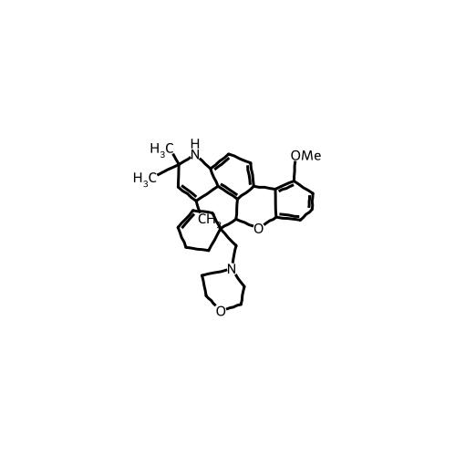 COc1cccc2c1-c1ccc3c(c1C(C1(CN4CCOCC4)CC=CCC1)O2)C(C)=CC(C)(C)N3